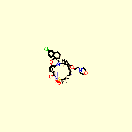 C[C@@H]1[C@@H](C)C/C=C\[C@H](OCCN2CCOCC2)[C@@H]2CC[C@H]2CN2C[C@@]3(CCCc4cc(Cl)ccc43)COc3ccc(cc32)C(=O)NS1(=O)=O